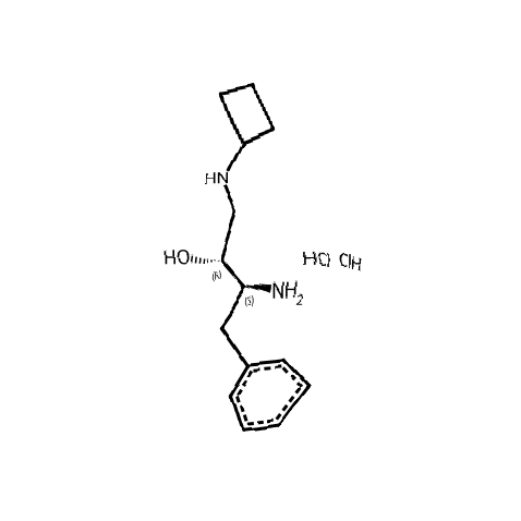 Cl.Cl.N[C@@H](Cc1ccccc1)[C@H](O)CNC1CCC1